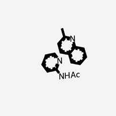 CC(=O)Nc1ccccn1.Cc1ccc2ccccc2n1